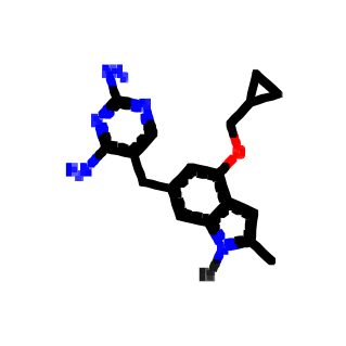 CCn1c(C)cc2c(OCC3CC3)cc(Cc3cnc(N)nc3N)cc21